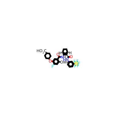 COc1cc(F)c(OC2CCC(C(=O)O)CC2)cc1C(=O)N[C@H]1[C@H]2CC[C@H](C2)[C@H]1C(=O)Nc1cccc(S(F)(F)(F)(F)F)c1